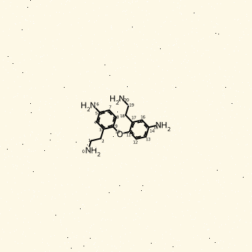 NCCc1cc(N)ccc1Oc1ccc(N)cc1CCN